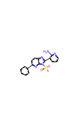 CS(=O)(=O)n1c(-c2cccnc2N)nc2ccc(-c3ccccc3)nc21